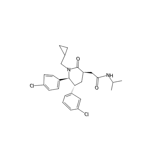 CC(C)NC(=O)C[C@H]1C[C@H](c2cccc(Cl)c2)[C@@H](c2ccc(Cl)cc2)N(CC2CC2)C1=O